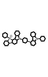 O=P1(c2ccccc2)c2ccccc2-c2ccc3c(c21)c1ccccc1n3-c1ccc(-c2cccc3c2c2ccccc2n3-c2ccccc2)cc1